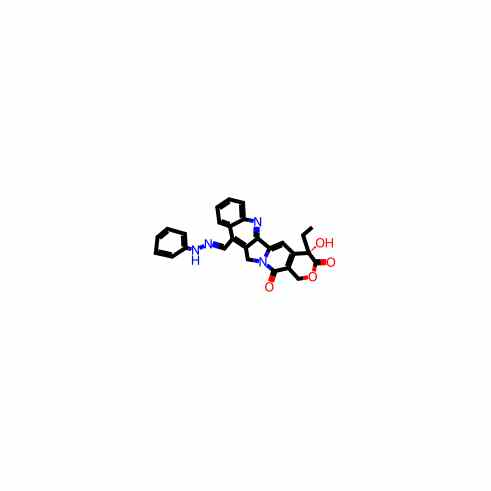 CC[C@@]1(O)C(=O)OCc2c1cc1n(c2=O)Cc2c-1nc1ccccc1c2C=NNc1ccccc1